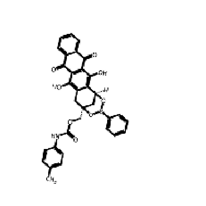 Cc1ccc(NC(=O)OC[C@]23Cc4c(O)c5c(c(O)c4[C@H](C2)OB(c2ccccc2)O3)C(=O)c2ccccc2C5=O)cc1